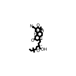 CCC(C)(C)CC[C@@](C)(CC[C@]1(C)CC(=O)C[C@@H]2[C@@]3(C)C=C(C#N)C(=O)C(C)(C)[C@@H]3CC[C@]21C)C(=O)O